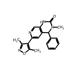 Cc1noc(C)c1-c1cc2c(cn1)NC(=O)N(C)C2c1ccccc1